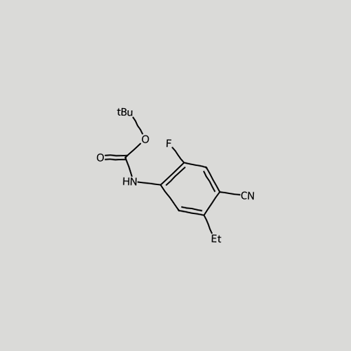 CCc1cc(NC(=O)OC(C)(C)C)c(F)cc1C#N